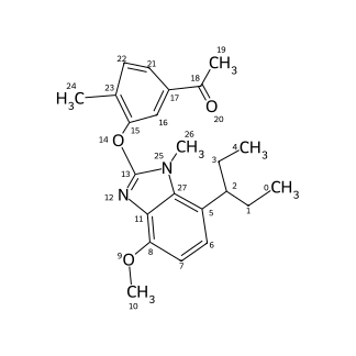 CCC(CC)c1ccc(OC)c2nc(Oc3cc(C(C)=O)ccc3C)n(C)c12